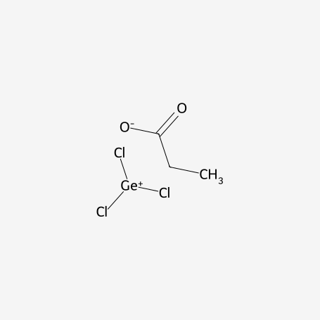 CCC(=O)[O-].[Cl][Ge+]([Cl])[Cl]